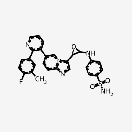 Cc1cc(-c2ncccc2-c2ccc3ncc(C4OC4Nc4ccc(S(N)(=O)=O)cc4)n3c2)ccc1F